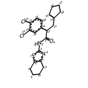 O=C(Nc1nc2c(s1)CCCC2)C(CC1CCCC1)c1ccc(Cl)c(Cl)c1